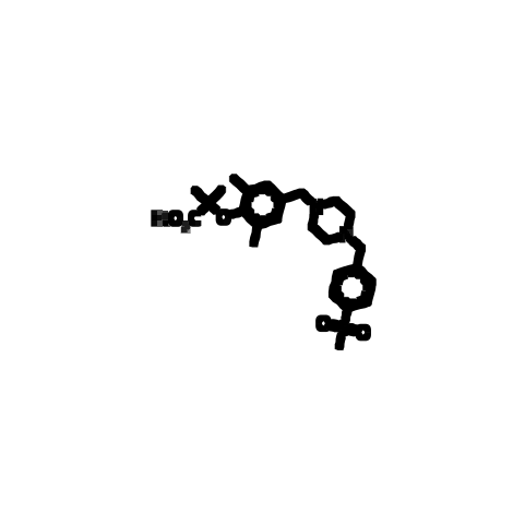 CCOC(=O)C(C)(C)Oc1c(C)cc(CN2CCN(Cc3ccc(S(C)(=O)=O)cc3)CC2)cc1C